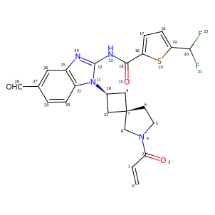 C=CC(=O)N1CC[C@]2(C1)C[C@H](n1c(NC(=O)c3ccc(C(F)F)s3)nc3cc(C=O)ccc31)C2